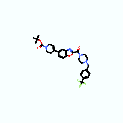 CC(C)(C)OC(=O)N1CC=C(c2ccc3oc(C(=O)N4CCN(Cc5ccc(C(F)(F)F)cc5)CC4)nc3c2)CC1